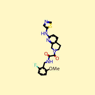 COc1cccc(F)c1CNC(=O)C(=O)N1CCc2ccc(Nc3cncs3)nc2C1